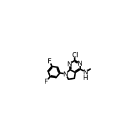 CNc1nc(Cl)nc2c1CCN2c1cc(F)cc(F)c1